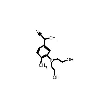 Cc1ccc(C(C)C#N)cc1N(CCO)CCO